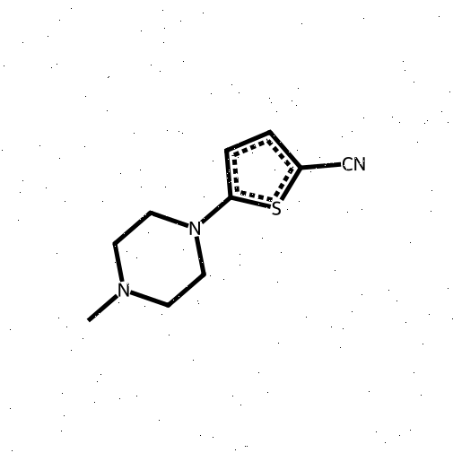 CN1CCN(c2ccc(C#N)s2)CC1